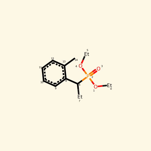 CCOP(=O)(OCC)C(CC)c1ccccc1C